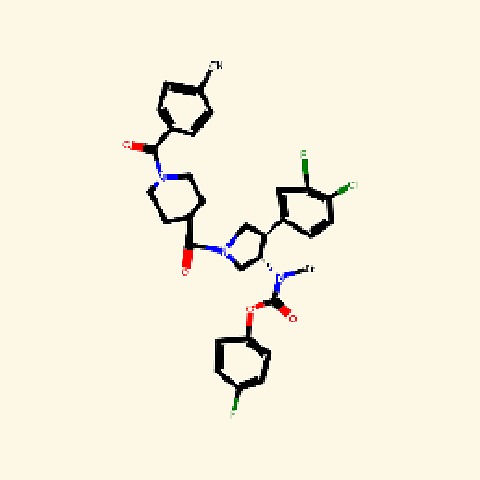 CCN(C(=O)Oc1ccc(F)cc1)[C@@H]1CN(C(=O)C2CCN(C(=O)c3ccc(C#N)cc3)CC2)C[C@H]1c1ccc(Cl)c(F)c1